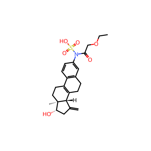 C=C1C[C@H](O)[C@@]2(C)CCC3=C(CCc4cc(N(C(=O)COCC)S(=O)(=O)O)ccc43)[C@H]12